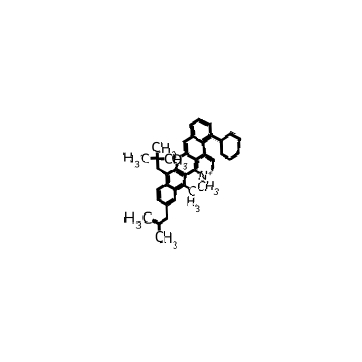 Cc1c2c(c(CC(C)(C)C)c3ccc(CC(C)C)cc13)Oc1cc3cccc(C4CCCCC4)c3c3cc[n+](C)c-2c13